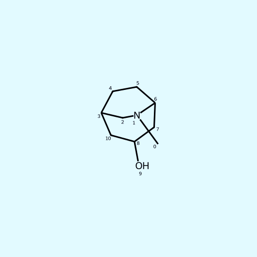 CN1CC2CCC1CC(O)C2